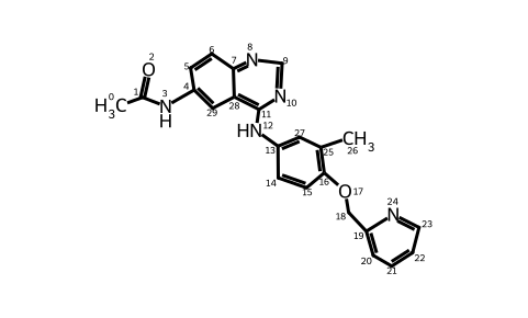 CC(=O)Nc1ccc2ncnc(Nc3ccc(OCc4ccccn4)c(C)c3)c2c1